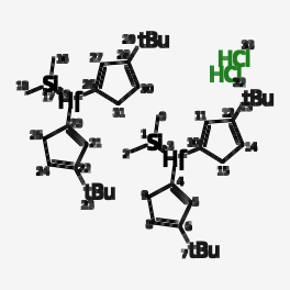 C[Si](C)=[Hf]([C]1=CC(C(C)(C)C)=CC1)[C]1=CC(C(C)(C)C)=CC1.C[Si](C)=[Hf]([C]1=CC(C(C)(C)C)=CC1)[C]1=CC(C(C)(C)C)=CC1.Cl.Cl